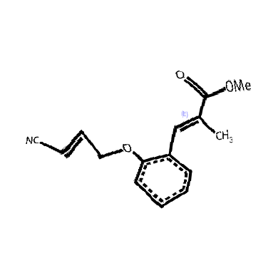 COC(=O)/C(C)=C/c1ccccc1OCC=CC#N